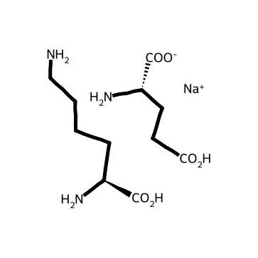 NCCCC[C@H](N)C(=O)O.N[C@@H](CCC(=O)O)C(=O)[O-].[Na+]